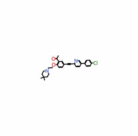 CC(=O)c1cc(C#Cc2ccc(-c3ccc(Cl)cc3)cn2)ccc1OCCN1CCC(C)(C)CC1